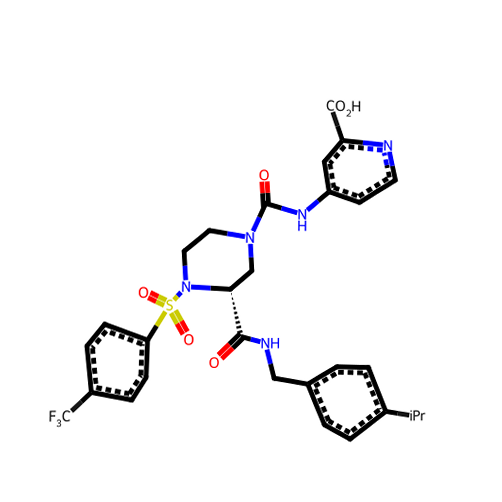 CC(C)c1ccc(CNC(=O)[C@H]2CN(C(=O)Nc3ccnc(C(=O)O)c3)CCN2S(=O)(=O)c2ccc(C(F)(F)F)cc2)cc1